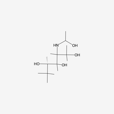 CC(O)NC(C)(C(C)(C)O)C(C)(O)[C@](C)(O)C(C)(C)C